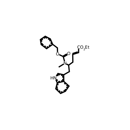 CCOC(=O)C=CCC(Cc1c[nH]c2ccccc12)N(C)C(=O)OCc1ccccc1